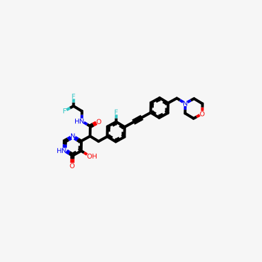 O=C(NCC(F)F)C(Cc1ccc(C#Cc2ccc(CN3CCOCC3)cc2)c(F)c1)c1nc[nH]c(=O)c1O